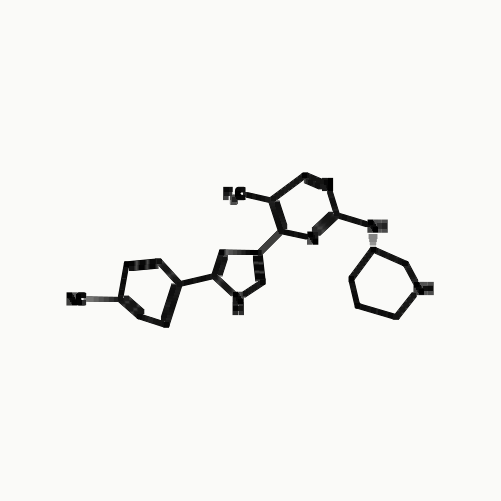 N#Cc1ccc(-c2cc(-c3nc(N[C@H]4CCCNC4)ncc3C(F)(F)F)c[nH]2)cc1